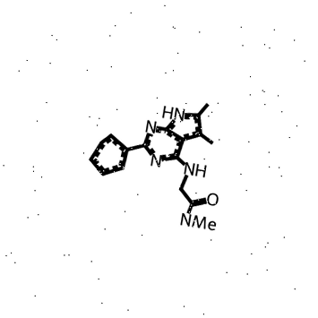 CNC(=O)CNc1nc(-c2ccccc2)nc2[nH]c(C)c(C)c12